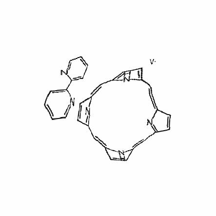 C1=Cc2cc3ccc(cc4nc(cc5ccc(cc1n2)[nH]5)C=C4)[nH]3.[V].c1ccc(-c2ccccn2)nc1